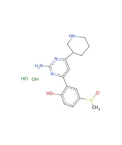 C[S+]([O-])c1ccc(O)c(-c2cc(C3CCCNC3)nc(N)n2)c1.Cl.Cl